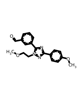 COCCn1nc(-c2ccc(OC)cc2)nc1-c1cccc(C=O)c1